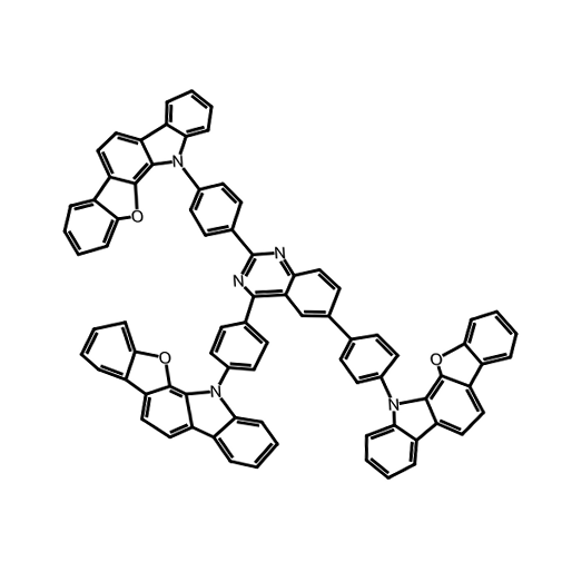 c1ccc2c(c1)oc1c2ccc2c3ccccc3n(-c3ccc(-c4ccc5nc(-c6ccc(-n7c8ccccc8c8ccc9c%10ccccc%10oc9c87)cc6)nc(-c6ccc(-n7c8ccccc8c8ccc9c%10ccccc%10oc9c87)cc6)c5c4)cc3)c21